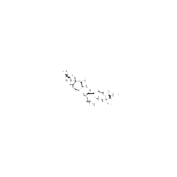 O=C(O)Oc1cc2c(Nc3ccc4[nH]c(=O)sc4c3)ncnc2[nH]1